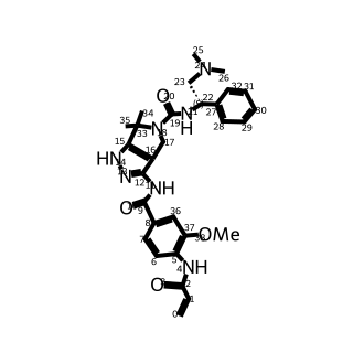 C=CC(=O)Nc1ccc(C(=O)Nc2n[nH]c3c2CN(C(=O)N[C@H](CN(C)C)c2ccccc2)C3(C)C)cc1OC